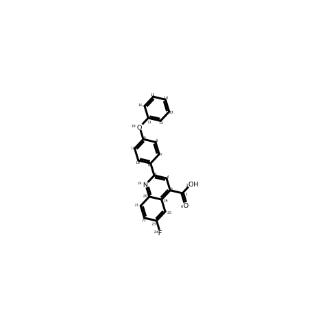 O=C(O)c1cc(-c2ccc(Oc3ccccc3)cc2)nc2ccc(F)cc12